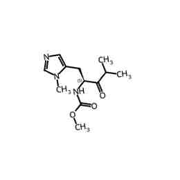 COC(=O)N[C@@H](Cc1cncn1C)C(=O)C(C)C